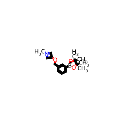 CN1CC(OCc2cccc(B3OC(C)(C)C(C)(C)O3)c2)C1